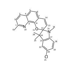 Cc1ccc2ccc3c(c2n1)OC1(C=C3)N(C)c2ccc(Cl)cc2C1(C)C